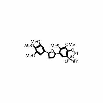 CCCS(=O)(=O)c1cc([C@@H]2CC[C@@H](c3cc(OC)c(OC)c(OC)c3)O2)c(SC)c(OC)c1OCC